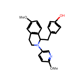 COc1ccc2c(c1)CCN(c1ccc(OC)nc1)C2Cc1ccc(O)cc1